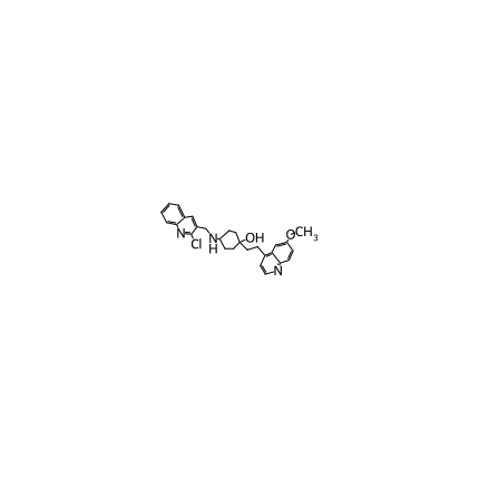 COc1ccc2nccc(CCC3(O)CCC(NCc4cc5ccccc5nc4Cl)CC3)c2c1